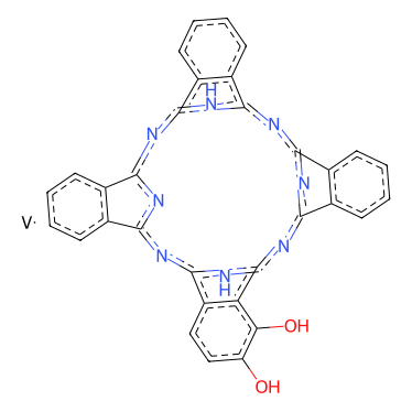 Oc1ccc2c3nc4nc(nc5[nH]c(nc6nc(nc([nH]3)c2c1O)-c1ccccc1-6)c1ccccc51)-c1ccccc1-4.[V]